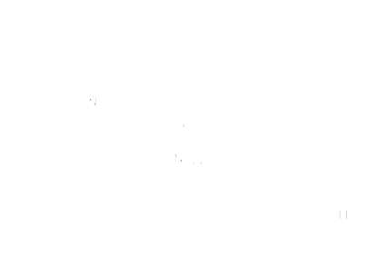 C/C(=N\OCc1ccc(-c2ccc(C)cc2)cc1)c1ccc(CNCCC(=O)O)cc1